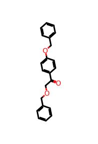 O=C(COCc1ccccc1)c1ccc(OCc2ccccc2)cc1